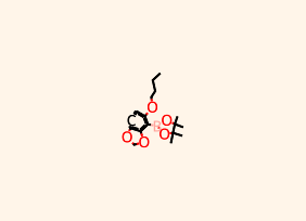 CCCCOc1ccc2c(c1B1OC(C)(C)C(C)(C)O1)OCO2